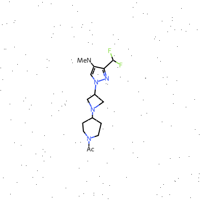 CNc1cn(C2CN(C3CCN(C(C)=O)CC3)C2)nc1C(F)F